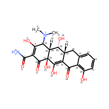 CN(C)[C@@H]1C(O)=C(C(N)=O)C(=O)[C@@]2(O)C(O)=C3C(=O)c4c(O)cccc4C[C@H]3[C@@H](O)[C@@H]12